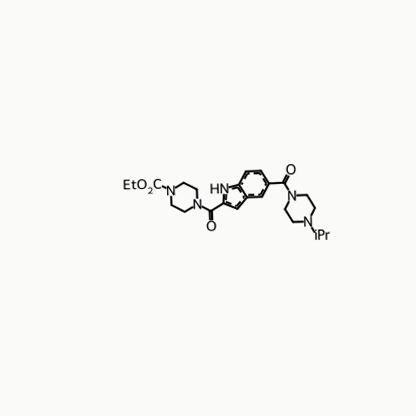 CCOC(=O)N1CCN(C(=O)c2cc3cc(C(=O)N4CCN(C(C)C)CC4)ccc3[nH]2)CC1